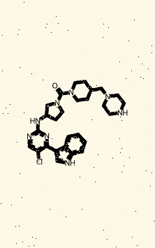 O=C(N1CCC(CN2CCNCC2)CC1)N1CCC(Nc2ncc(Cl)c(-c3c[nH]c4ccccc34)n2)C1